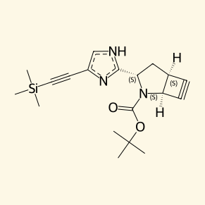 CC(C)(C)OC(=O)N1[C@@H]2C#C[C@@H]2C[C@H]1c1nc(C#C[Si](C)(C)C)c[nH]1